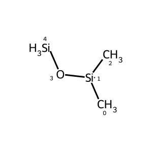 C[Si](C)O[SiH3]